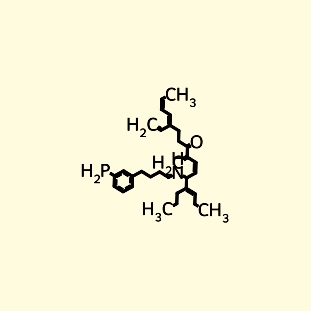 C=C/C(=C\C=C/C)CCC(=O)C(=C)/C=C\C(NCCCCc1cccc(P)c1)/C(=C/CC)CCC